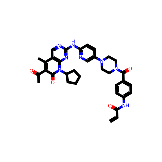 C=CC(=O)Nc1ccc(C(=O)N2CCN(c3ccc(Nc4ncc5c(C)c(C(C)=O)c(=O)n(C6CCCC6)c5n4)nc3)CC2)cc1